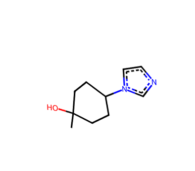 CC1(O)CCC(n2ccnc2)CC1